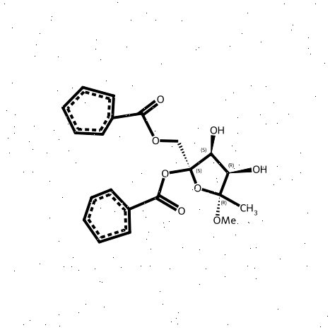 CO[C@]1(C)O[C@@](COC(=O)c2ccccc2)(OC(=O)c2ccccc2)[C@@H](O)[C@H]1O